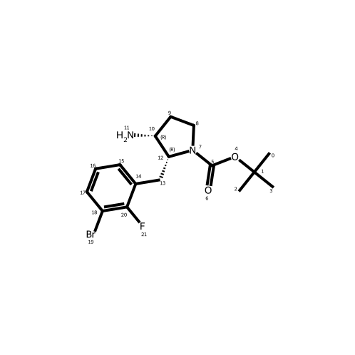 CC(C)(C)OC(=O)N1CC[C@@H](N)[C@H]1Cc1cccc(Br)c1F